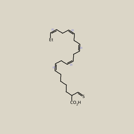 CC/C=C\C/C=C\C/C=C\C/C=C\C/C=C\CCCCC(C=S)C(=O)O